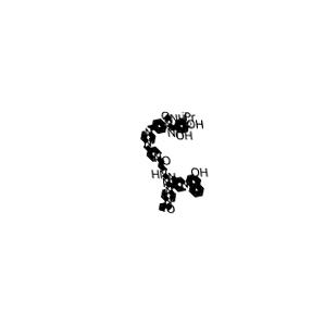 C=CC(=O)N1CCN(c2nc(NCCC(=O)N3CCC(CN4CCN(Cc5ccc(N(C(=N)c6cc(C(C)C)c(O)cc6O)C(N)=O)cc5)CC4)CC3)nc3c2CCN(c2cc(O)cc4ccccc24)C3)CC1